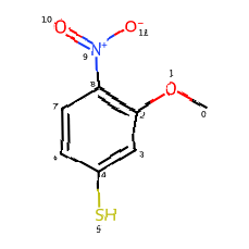 COc1cc(S)ccc1[N+](=O)[O-]